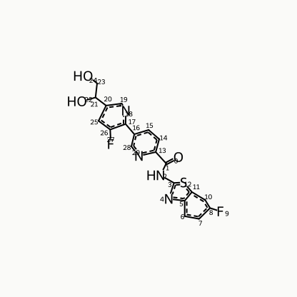 O=C(Nc1nc2ccc(F)cc2s1)c1ccc(-c2ncc(C(O)CO)cc2F)cn1